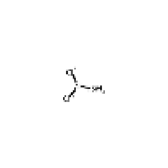 [SiH3][Zr]([Cl])[Cl]